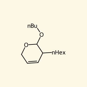 CCCCCCC1C=CCOC1OCCCC